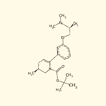 C[C@H]1CC=C(c2cccc(OC[C@H](C)N(C)C)c2)N(C(=O)OC(C)(C)C)C1